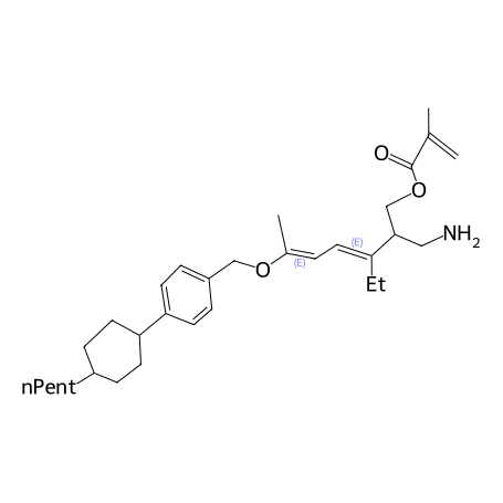 C=C(C)C(=O)OCC(CN)/C(=C/C=C(\C)OCc1ccc(C2CCC(CCCCC)CC2)cc1)CC